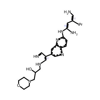 CC(C)C(=C/N)/C=C(\N)Nc1ccc2ncc(/C(C=N)=C/NCC(O)CN3CCOCC3)cc2n1